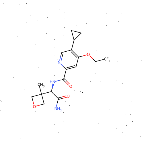 CC1([C@@H](NC(=O)c2cc(OCC(F)(F)F)c(C3CC3)cn2)C(N)=O)COC1